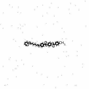 Cc1ccc(C(=O)Oc2ccc(OC(=O)c3ccc(OCCCCCCOC4CCCCO4)cc3)cc2)cc1